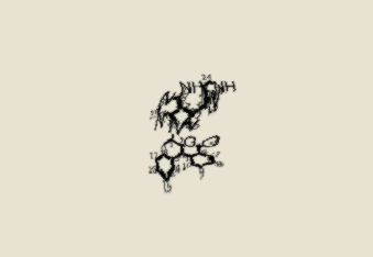 CC(c1oc(=O)c2ccccc2c1-c1ccccc1)n1nc(-c2cc[nH]n2)c2c(N)ncnc21